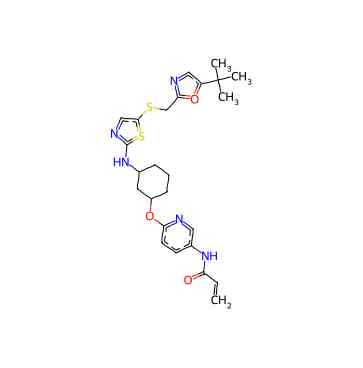 C=CC(=O)Nc1ccc(OC2CCCC(Nc3ncc(SCc4ncc(C(C)(C)C)o4)s3)C2)nc1